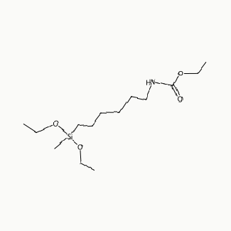 CCOC(=O)NCCCCCC[Si](C)(OCC)OCC